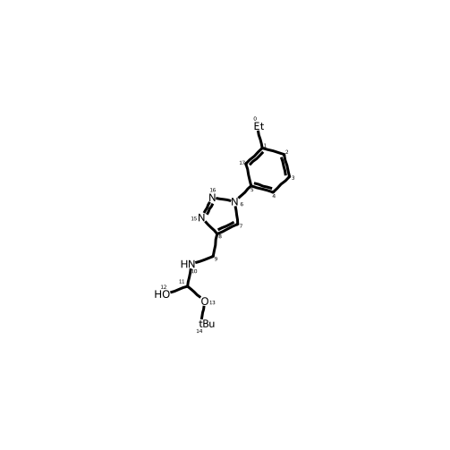 CCc1cccc(-n2cc(CNC(O)OC(C)(C)C)nn2)c1